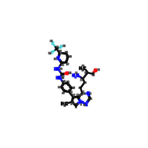 Cc1cn2ncnc(CCC(N)C(C)C=O)c2c1-c1ccc(NC(=O)Nc2cccc(C(F)(F)F)n2)cc1